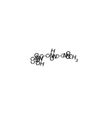 COC(=O)N1CCC(C2CCN(C(=O)Nc3ccc(-c4ccc(C(=O)Nc5cccc6cccc(C(=O)O)c56)nc4)cc3)CC2)CC1